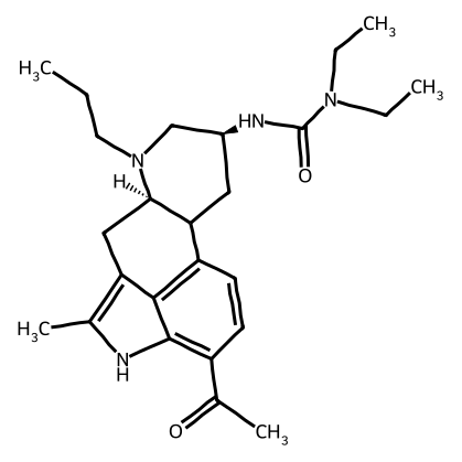 CCCN1C[C@@H](NC(=O)N(CC)CC)CC2c3ccc(C(C)=O)c4[nH]c(C)c(c34)C[C@H]21